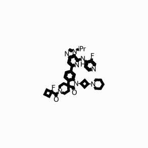 CC(C)n1cnc2cc(-c3ccc4c(c3)N([C@H]3C[C@@H](N5CCCCC5)C3)C(=O)C43CCN(C(=O)C4(F)CCC4)CC3)nc(Nc3ccncc3F)c21